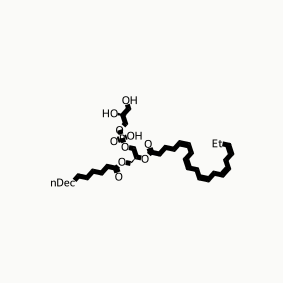 CC/C=C\C/C=C\C/C=C\C/C=C\C/C=C\CCCC(=O)O[C@H](COC(=O)CCCCCCCCCCCCCCC)COP(=O)(O)OC[C@@H](O)CO